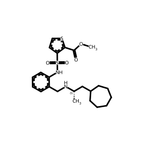 COC(=O)c1sccc1S(=O)(=O)Nc1ccccc1CN[C@@H](C)CC1CCCCCC1